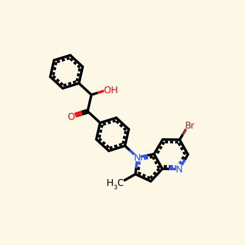 Cc1cc2ncc(Br)cc2n1-c1ccc(C(=O)C(O)c2ccccc2)cc1